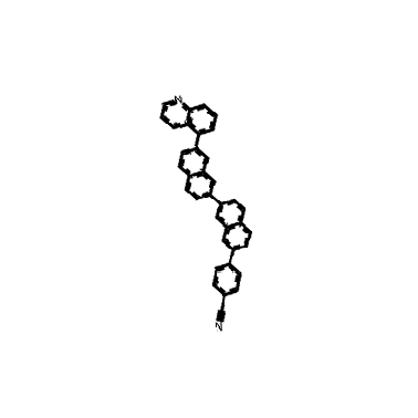 N#Cc1ccc(-c2ccc3ccc(-c4ccc5ccc(-c6cccc7ncccc67)cc5c4)cc3c2)cc1